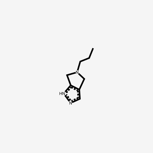 CCCN1Cc2cn[nH]c2C1